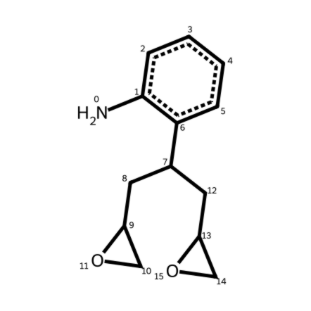 Nc1ccccc1C(CC1CO1)CC1CO1